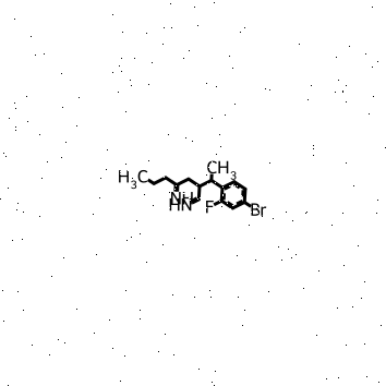 CCCC(=N)CC(C=N)C(C)c1ccc(Br)cc1F